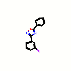 Ic1cccc(-c2noc(-c3ccccc3)n2)c1